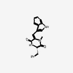 CC(C)C[C@@H]1NC(=O)/C(=C/c2c[nH]c3ccccc23)N(C)C1=O